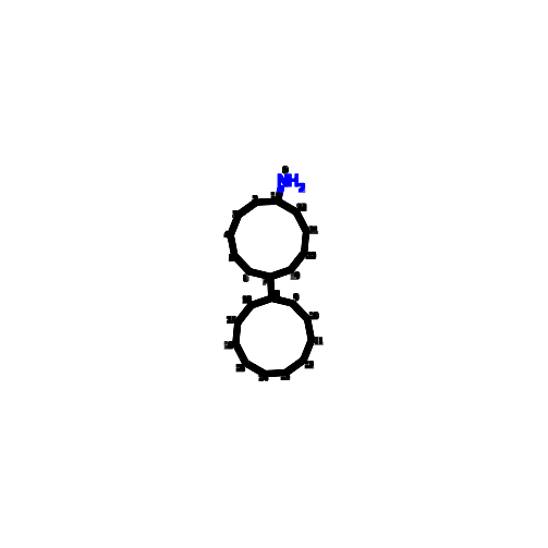 NC1CCCCCC(C2CCCCCCCCCC2)CCCC1